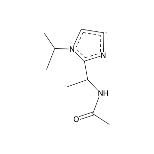 CC(=O)NC(C)c1n[c]cn1C(C)C